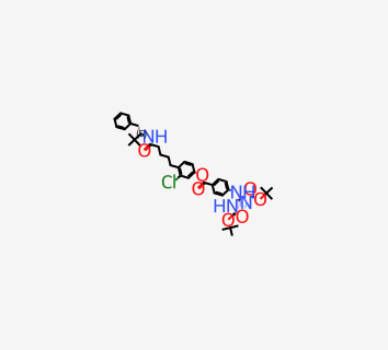 CC(C)(C)OC(=O)/N=C(/NC(=O)OC(C)(C)C)Nc1ccc(C(=O)Oc2ccc(CCCCC(=O)N[C@@H](Cc3ccccc3)C(C)(C)C)c(Cl)c2)cc1